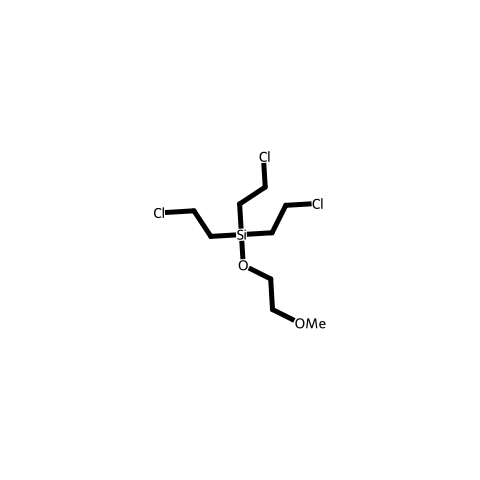 COCCO[Si](CCCl)(CCCl)CCCl